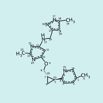 Cc1ccc([C@H]2C[C@@H]2COc2cc(NCc3nnc(C)s3)nc(C)n2)nc1